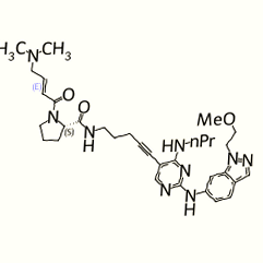 CCCNc1nc(Nc2ccc3cnn(CCOC)c3c2)ncc1C#CCCCNC(=O)[C@@H]1CCCN1C(=O)/C=C/CN(C)C